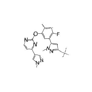 Cc1[c]c(F)c(-c2cc(C(C)(C)C)nn2C)cc1Oc1nccc(-c2cnn(C)c2)n1